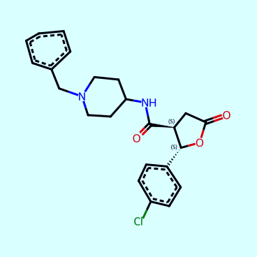 O=C1C[C@H](C(=O)NC2CCN(Cc3ccccc3)CC2)[C@@H](c2ccc(Cl)cc2)O1